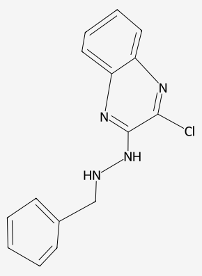 Clc1nc2ccccc2nc1NNCc1ccccc1